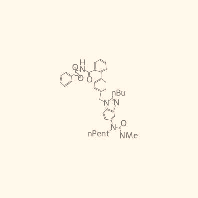 CCCCCN(C(=O)NC)c1ccc2c(c1)nc(CCCC)n2Cc1ccc(-c2ccccc2C(=O)NS(=O)(=O)c2ccccc2)cc1